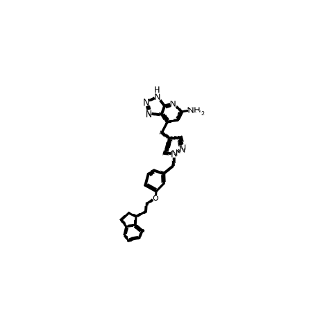 Nc1cc(Cc2cnn(Cc3cccc(OCCC4CCc5ccccc54)c3)c2)c2nn[nH]c2n1